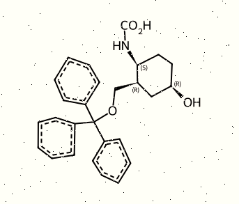 O=C(O)N[C@H]1CC[C@@H](O)C[C@H]1COC(c1ccccc1)(c1ccccc1)c1ccccc1